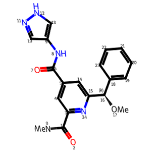 CNC(=O)c1cc(C(=O)Nc2cn[nH]c2)cc([C@H](OC)c2ccccc2)n1